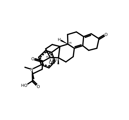 CN(C)c1ccc(C23CC[C@](O)(C(=O)CCC(=O)O)[C@@]2(C)CCC2=C4CCC(=O)C=C4CC[C@H]23)cc1